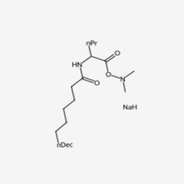 CCCCCCCCCCCCCCCC(=O)NC(CCC)C(=O)ON(C)C.[NaH]